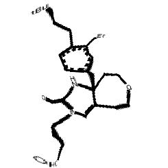 CCc1cc(C23CCOCCC2=CN(CCC=O)C(=O)N3)ccc1CCC(C)(C)C